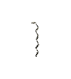 [CH]=CC=CC=CC=CCCC